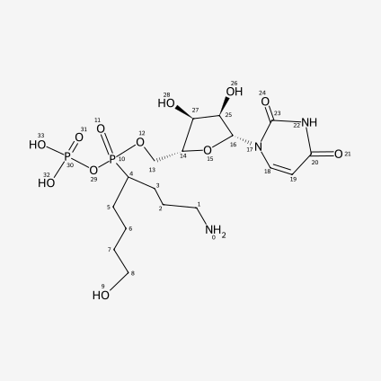 NCCCC(CCCCO)P(=O)(OC[C@H]1O[C@@H](n2ccc(=O)[nH]c2=O)[C@H](O)[C@@H]1O)OP(=O)(O)O